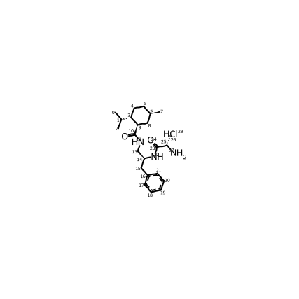 CC(C)[C@@H]1CC[C@@H](C)C[C@H]1C(=O)NC[C@H](Cc1ccccc1)NC(=O)[C@H](C)N.Cl